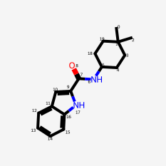 CC1(C)CCC(NC(=O)c2cc3ccccc3[nH]2)CC1